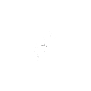 C=CC(=O)OC(C)Cc1c2c3oc1cc3C(=O)C2